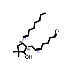 CCCCCC/C=C/[C@H]1CC(C)(C)C(O)[C@@H]1C/C=C\CCCC=O